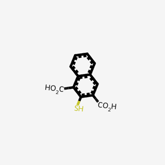 O=C(O)c1cc2ccccc2c(C(=O)O)c1S